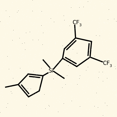 CC1=CCC([Si](C)(C)c2cc(C(F)(F)F)cc(C(F)(F)F)c2)=C1